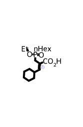 CCCCCCP(=O)(C/C(=C\C1CCCCC1)C(=O)O)OCC